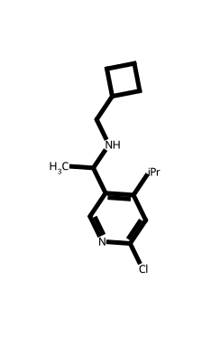 CC(C)c1cc(Cl)ncc1C(C)NCC1CCC1